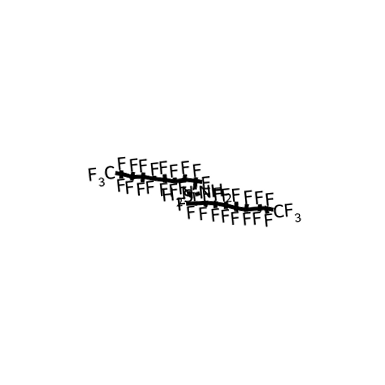 N[Si](N)(C(F)(F)C(F)(F)C(F)(F)C(F)(F)C(F)(F)C(F)(F)C(F)(F)C(F)(F)C(F)(F)F)C(F)(F)C(F)(F)C(F)(F)C(F)(F)C(F)(F)C(F)(F)C(F)(F)C(F)(F)C(F)(F)F